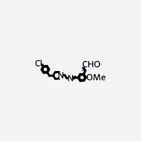 COc1ccc(C#[N+]CCN2CCC(Cc3ccc(Cl)cc3)CC2)cc1/C=C/[C]=O